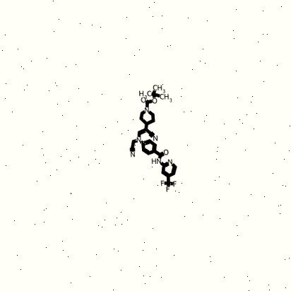 CC(C)(C)OC(=O)N1CCC(C(C#N)=CN(CC#N)c2ccc(C(=O)Nc3cc(C(F)(F)F)ccn3)cc2)CC1